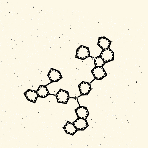 c1ccc(-c2cc3ccccc3cc2-c2ccc(N(c3ccc(-c4ccc5c6ccc7ccccc7c6n(-c6ccccc6)c5c4)cc3)c3ccc4ccc5ccccc5c4c3)cc2)cc1